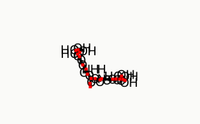 CCCOCC(C)(COCCC(=O)NCCOCCOCCO[C@H]1OC(CO)[C@@H](O)C(O)C1O)COCCC(=O)NCCOCCOCCO[C@H]1OC(CO)[C@@H](O)C(O)C1O